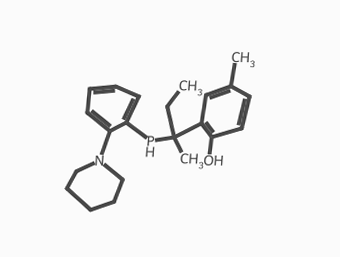 CCC(C)(Pc1ccccc1N1CCCCC1)c1cc(C)ccc1O